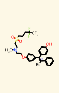 CC/C(=C(/c1ccc(O)cc1)c1ccc(OCCN(C)CCS(=O)(=O)CCCC(F)(F)C(F)(F)F)cc1)c1ccccc1